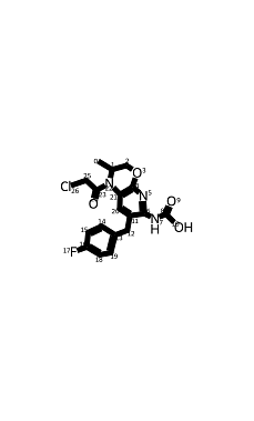 CC1COc2nc(NC(=O)O)c(Cc3ccc(F)cc3)cc2N1C(=O)CCl